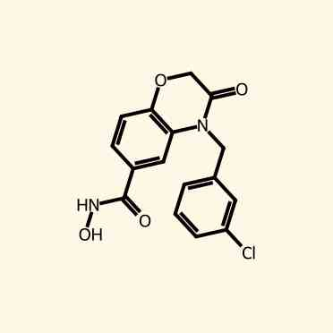 O=C(NO)c1ccc2c(c1)N(Cc1cccc(Cl)c1)C(=O)CO2